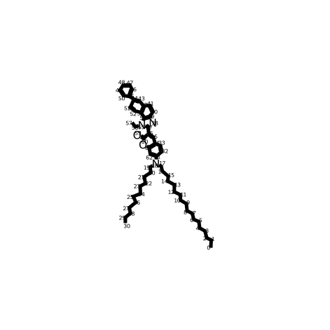 CCCCCCCCCCCCCCCCCCN(CCCCCCCCCCCC)c1ccc2cc(-c3nc4ccc5cc(-c6ccccc6)ccc5c4n3CC)c(=O)oc2c1